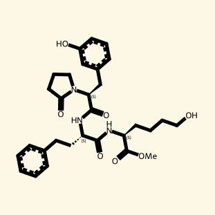 COC(=O)[C@H](CCCCO)NC(=O)[C@H](CCc1ccccc1)NC(=O)[C@H](Cc1cccc(O)c1)N1CCCC1=O